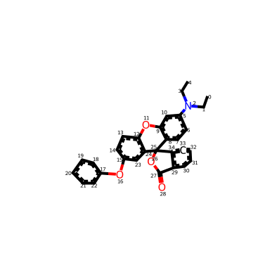 CCN(CC)c1ccc2c(c1)Oc1ccc(Oc3ccccc3)cc1C21OC(=O)c2ccccc21